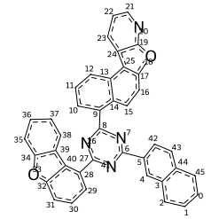 c1ccc2cc(-c3nc(-c4cccc5c4ccc4oc6ncccc6c45)nc(-c4cccc5oc6ccccc6c45)n3)ccc2c1